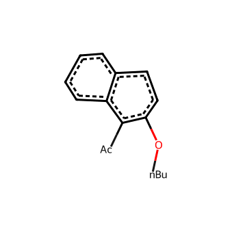 CCCCOc1ccc2ccccc2c1C(C)=O